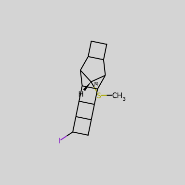 CS[C@H]1C2C3CCC3C1C1C3C4C(I)CC4C3C12